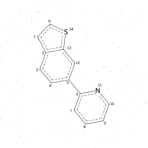 [c]1cc2ccc(-c3ccccn3)cc2s1